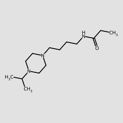 CCC(=O)NCCCCN1CCN(C(C)C)CC1